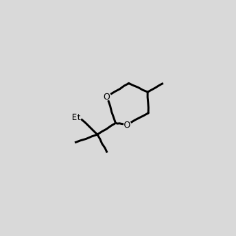 CCC(C)(C)C1OCC(C)CO1